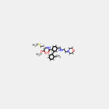 COC(=O)[C@H](CCSC)NC(=O)c1ccc(CNCCN2CCOCC2)cc1-c1ccccc1C